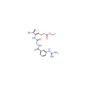 CCOC(=O)CCc1scc(Br)c1NC(=O)CNC(=O)c1cccc(NC(=N)N)c1